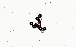 c1ccc(-c2cccc(-c3nc(-c4ccc5oc6ccccc6c5c4)nc(-c4ccc5oc6c(-c7ccccc7)cccc6c5c4)n3)c2)cc1